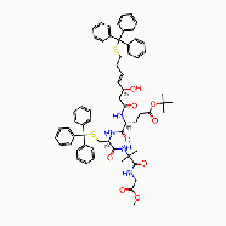 COC(=O)CNC(=O)C(C)(C)NC(=O)[C@@H](CSC(c1ccccc1)(c1ccccc1)c1ccccc1)NC(=O)[C@@H](CCC(=O)OC(C)(C)C)NC(=O)C[C@H](O)C=CCCSC(c1ccccc1)(c1ccccc1)c1ccccc1